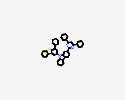 C1=CC(c2cc(-n3c4ccccc4c4ccc(-c5nc(-c6ccccc6)cc(-c6ccccc6)n5)cc43)cc3c2sc2ccccc23)=CCC1